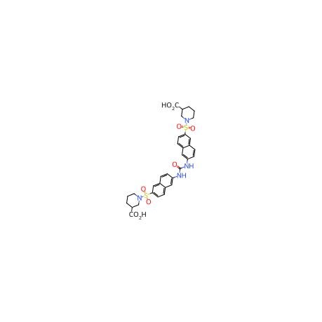 O=C(Nc1ccc2cc(S(=O)(=O)N3CCCC(C(=O)O)C3)ccc2c1)Nc1ccc2cc(S(=O)(=O)N3CCCC(C(=O)O)C3)ccc2c1